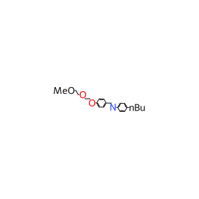 CCCCc1ccc(N=Cc2ccc(OCCOCCOC)cc2)cc1